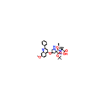 C=C[C@@H]1C[C@]1(NC(=O)[C@]1(C(=O)OC(C)(C)C)C[C@@H](Oc2cc(-c3ccccc3)nc3cc(OC)ccc23)CN1)C(=O)O